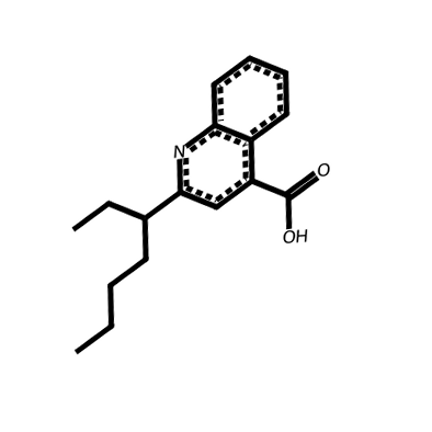 CCCCC(CC)c1cc(C(=O)O)c2ccccc2n1